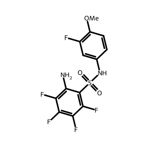 COc1ccc(NS(=O)(=O)c2c(N)c(F)c(F)c(F)c2F)cc1F